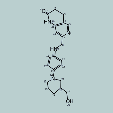 O=C1CCc2cnc(CNc3ccc(N4CCCC(CO)C4)cc3)cc2N1